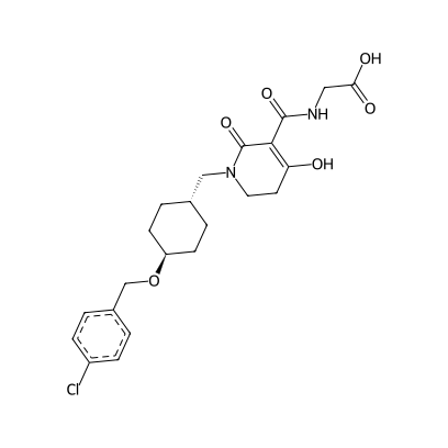 O=C(O)CNC(=O)C1=C(O)CCN(C[C@H]2CC[C@H](OCc3ccc(Cl)cc3)CC2)C1=O